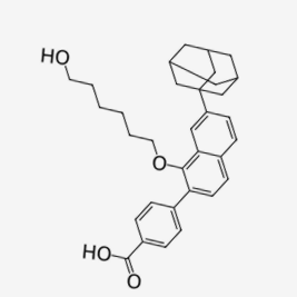 O=C(O)c1ccc(-c2ccc3ccc(C45CC6CC(CC(C6)C4)C5)cc3c2OCCCCCCO)cc1